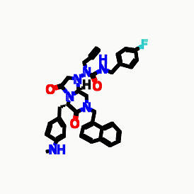 C#CCN(C(=O)NCc1ccc(F)cc1)N1CC(=O)N2[C@@H](Cc3ccc(NC)cc3)C(=O)N(Cc3cccc4ccccc34)C[C@@H]21